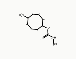 CC(C)(C)NC(=O)OC1CCCC(N)CCC1